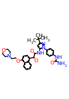 CC(C)(C)c1cc(NC(=O)C(=O)c2ccc(OCCN3CCOCC3)c3ccccc23)n(-c2ccc(NC(N)=O)cc2)n1